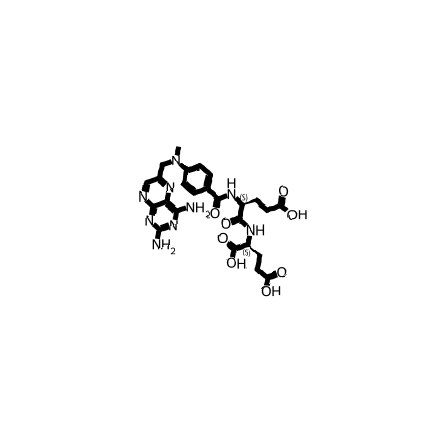 CN(Cc1cnc2nc(N)nc(N)c2n1)c1ccc(C(=O)N[C@@H](CCC(=O)O)C(=O)N[C@@H](CCC(=O)O)C(=O)O)cc1